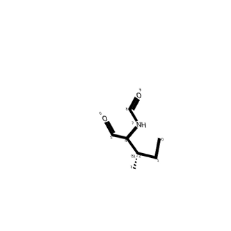 CC[C@H](C)C(C=O)NC=O